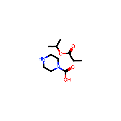 CCC(=O)OC(C)C.O=C(O)N1CCNCC1